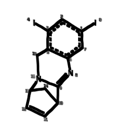 Ic1cc(I)c2c(c1)N=C1C3C=CC(C3)N1C2